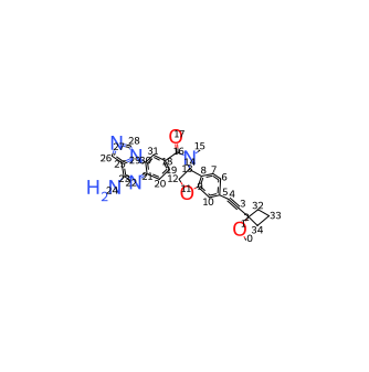 COC1(C#Cc2ccc3c(c2)OC[C@H]3N(C)C(=O)c2ccc3nc(N)c4cncn4c3c2)CCC1